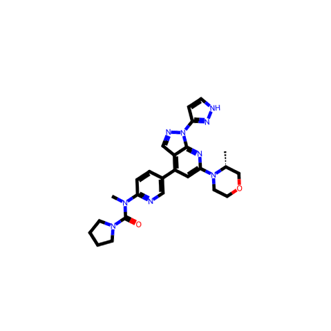 C[C@@H]1COCCN1c1cc(-c2ccc(N(C)C(=O)N3CCCC3)nc2)c2cnn(-c3cc[nH]n3)c2n1